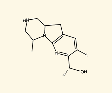 CC1CNCC2Cc3cc(I)c([C@@H](C)O)nc3N12